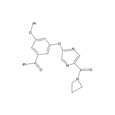 CC(C)Oc1cc(Oc2cnc(C(=O)N3CCC3)cn2)cc(C(=O)C(C)C)c1